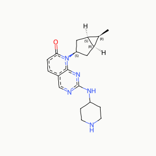 C[C@H]1[C@H]2C[C@@H](n3c(=O)ccc4cnc(NC5CCNCC5)nc43)C[C@@H]12